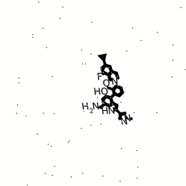 Cn1cc(-c2cc3c(-c4cccc(-n5ccc6cc(C7CC7)cc(F)c6c5=O)c4CO)ccc(CN)c3[nH]2)cn1